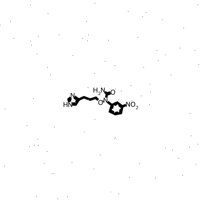 NC(=O)N(OCCCc1c[nH]cn1)c1cccc([N+](=O)[O-])c1